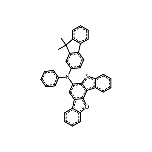 CC1(C)c2ccccc2-c2ccc(N(c3ccccc3)c3cc4c5ccccc5oc4c4c3sc3ccccc34)cc21